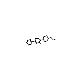 CCC[C@H]1CC[C@H](c2ccc(-c3ccccc3)cc2F)CC1